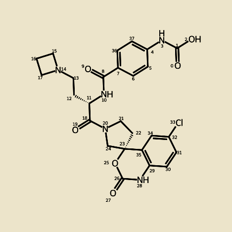 O=C(O)Nc1ccc(C(=O)N[C@@H](CCN2CCC2)C(=O)N2CC[C@@]3(C2)OC(=O)Nc2ccc(Cl)cc23)cc1